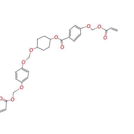 C=CC(=O)OCOc1ccc(OCOC2CCC(OC(=O)c3ccc(OCOC(=O)C=C)cc3)CC2)cc1